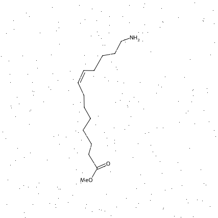 COC(=O)CCCCCC/C=C\CCCCN